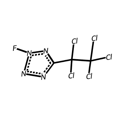 Fn1nnc(C(Cl)(Cl)C(Cl)(Cl)Cl)n1